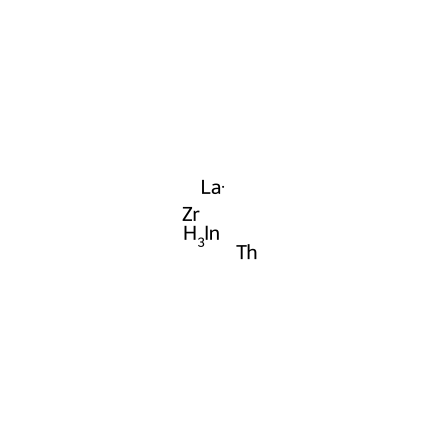 [InH3].[La].[Th].[Zr]